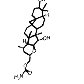 C[C@@H]1CC(COC(N)=O)OC2[C@H]1C1(C)CCC34CC35CCC(O)C(C)(C)[C@@H]5CCC4[C@]1(C)[C@H]2O